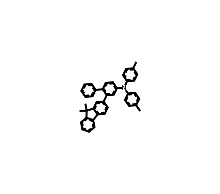 Cc1ccc(N(c2ccc(C)cc2)c2ccc(-c3ccccc3)c(-c3ccc4c(c3)C(C)(C)c3ccccc3-4)c2)cc1